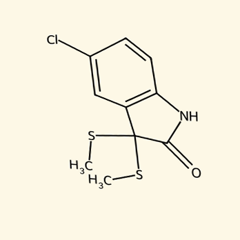 CSC1(SC)C(=O)Nc2ccc(Cl)cc21